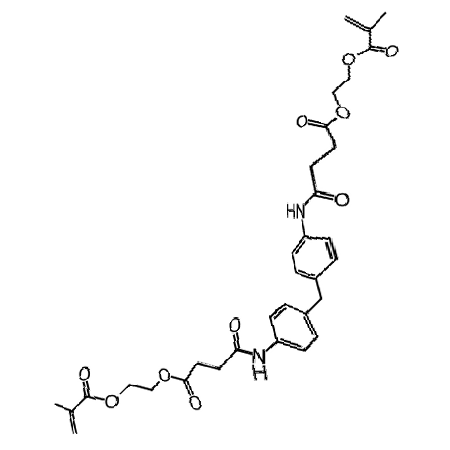 C=C(C)C(=O)OCCOC(=O)CCC(=O)Nc1ccc(Cc2ccc(NC(=O)CCC(=O)OCCOC(=O)C(=C)C)cc2)cc1